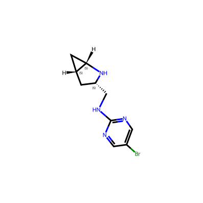 Brc1cnc(NC[C@@H]2C[C@@H]3C[C@@H]3N2)nc1